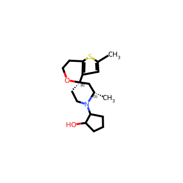 Cc1cc2c(s1)CCO[C@@]21CCN(C2CCCC2O)[C@@H](C)C1